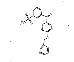 CS(=O)(=O)c1cccc(C(=O)c2ccc(NCc3cncnc3)nc2)c1